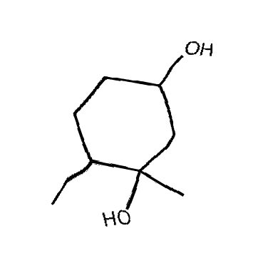 CC1CCC(O)CC1(C)O